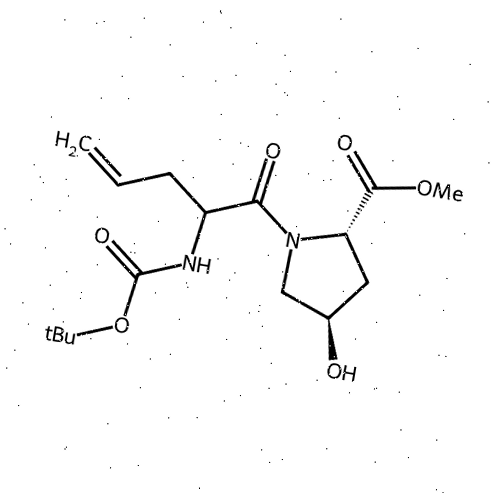 C=CCC(NC(=O)OC(C)(C)C)C(=O)N1C[C@H](O)C[C@H]1C(=O)OC